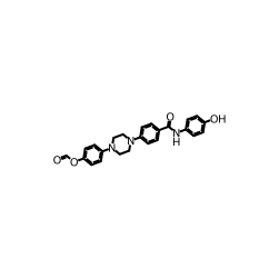 O=COc1ccc(N2CCN(c3ccc(C(=O)Nc4ccc(O)cc4)cc3)CC2)cc1